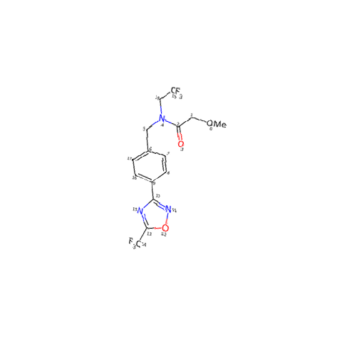 COCC(=O)N(Cc1ccc(-c2noc(C(F)(F)F)n2)cc1)CC(F)(F)F